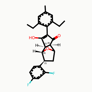 CCc1cc(C)cc(CC)c1C1=C(O)[C@@H]2[C@@H]3OC(C[C@H]3c3ccc(F)cc3F)[C@@H]2C1=O